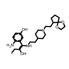 Nc1ccc(O)cc1/C(NCCC1CCN(CCC2CCCC23OCCO3)CC1)=C(/O)CI